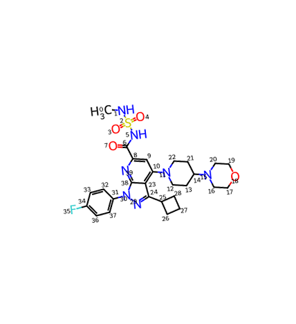 CNS(=O)(=O)NC(=O)c1cc(N2CCC(N3CCOCC3)CC2)c2c(C3CCC3)nn(-c3ccc(F)cc3)c2n1